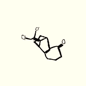 O=C1CCCC2=C1C1CCC2C1=C(Cl)Cl